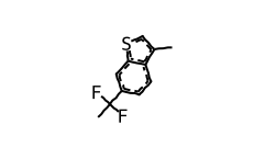 Cc1csc2cc(C(C)(F)F)ccc12